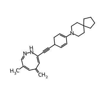 C=C1/C=C(C)\C=N/N/C(C#CC2C=CC(N3CCC4(CCCC4)CC3)=CC2)=C\1